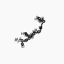 CC1(C)CCC(CN2CCN(c3ccc(C(=O)NS(=O)(=O)c4ccc(NCC5CCN(Cc6cnn(CCC#Cc7cccc8c7C(=O)N(C7CCC(=O)NC7=O)C8=O)c6)CC5)c([N+](=O)[O-])c4)c(Oc4cnc5[nH]ccc5c4)c3)CC2)=C(c2ccc(Cl)cc2)C1